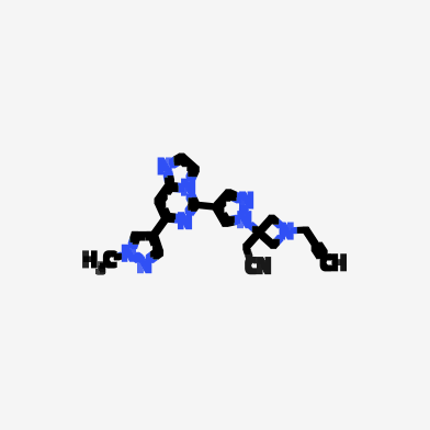 C#CCN1CC(CC#N)(n2cc(-c3nc(-c4cnn(C)c4)cc4nccn34)cn2)C1